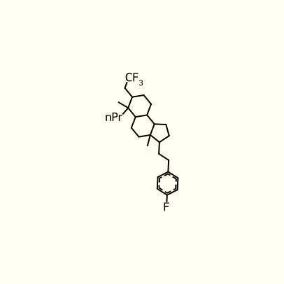 CCCC1(C)C(CC(F)(F)F)CCC2C3CCC(CCc4ccc(F)cc4)C3(C)CCC21